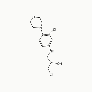 OC(CCl)CNc1ccc(N2CCOCC2)c(Cl)c1